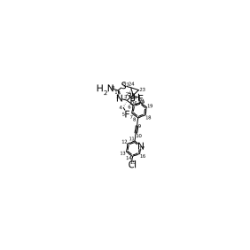 NC1=N[C@](CF)(c2cc(C#Cc3ccc(Cl)cn3)ccc2F)[C@@H]2C[C@]2(CF)S1